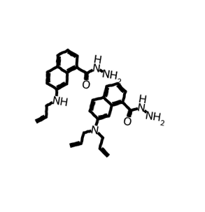 C=CCN(CC=C)c1ccc2cccc(C(=O)NN)c2c1.C=CCNc1ccc2cccc(C(=O)NN)c2c1